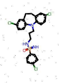 N=S(=O)(NCCCN1c2ccc(Cl)cc2CCc2cc(Cl)ccc21)c1ccc(Cl)cc1